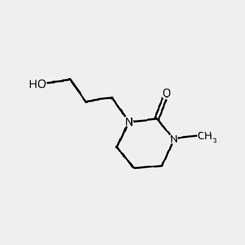 CN1CCCN(CCCO)C1=O